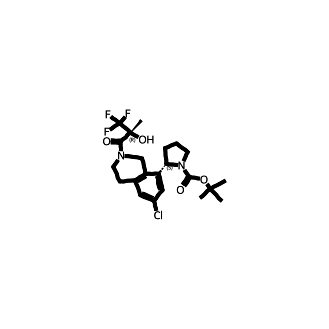 CC(C)(C)OC(=O)N1CCC[C@H]1c1cc(Cl)cc2c1CN(C(=O)[C@@](C)(O)C(F)(F)F)CC2